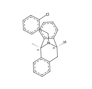 C[C@]12c3ccccc3C[C@H](c3ccccc31)N2Cc1ccccc1Cl